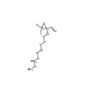 C=CC1(OCCCOCCNCC(C)C)CC1(C)C